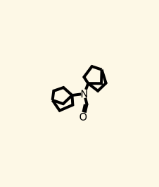 O=CN(C12CCC(CC1)C2)C12CCC(CC1)C2